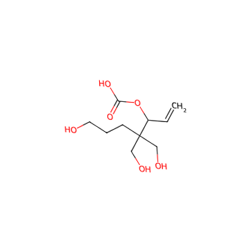 C=CC(OC(=O)O)C(CO)(CO)CCCO